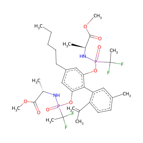 C=C(C)c1ccc(C)cc1-c1c(OP(=O)(N[C@@H](C)C(=O)OC)C(C)(F)F)cc(CCCCC)cc1OP(=O)(N[C@@H](C)C(=O)OC)C(C)(F)F